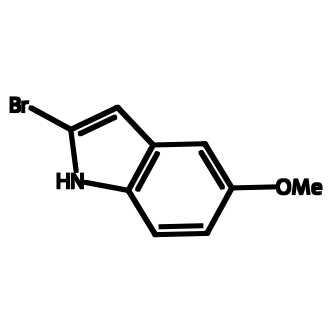 COc1ccc2[nH]c(Br)cc2c1